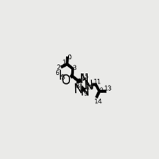 CC(C)CC(OI)c1nnn(CC(C)C)n1